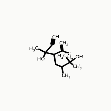 C#CC(C)(O)C(CC(C)C(C)(C)O)C(=C)C